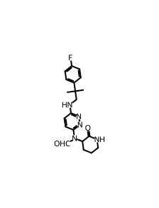 CC(C)(CNc1ccc(N(C=O)C2CCCNC2=O)nn1)c1ccc(F)cc1